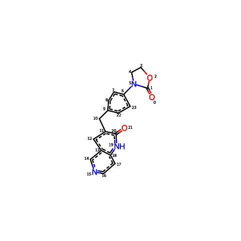 O=C1OCCN1c1ccc(Cc2cc3cnccc3[nH]c2=O)cc1